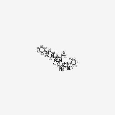 Cc1cccc(Cl)c1NC(=O)c1cnc(Nc2nc(C3CC3)nc(N3CCN(c4ccccc4)CC3)n2)s1